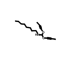 CC#COC(NCCCCCCCC)OC#CC